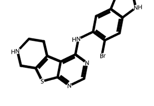 Brc1cc2[nH]ncc2cc1Nc1ncnc2sc3c(c12)CCNC3